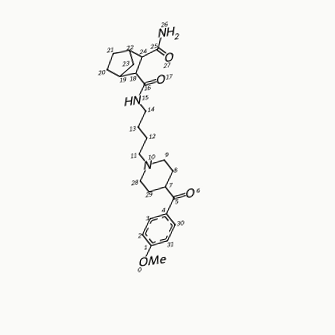 COc1ccc(C(=O)C2CCN(CCCCNC(=O)C3C4CCC(C4)C3C(N)=O)CC2)cc1